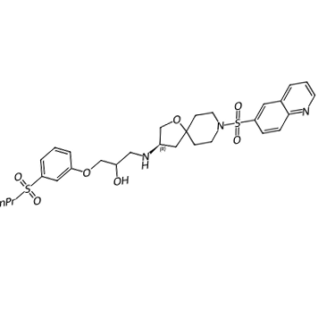 CCCS(=O)(=O)c1cccc(OCC(O)CN[C@H]2COC3(CCN(S(=O)(=O)c4ccc5ncccc5c4)CC3)C2)c1